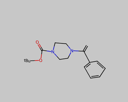 C=C(c1ccccc1)N1CCN(C(=O)OC(C)(C)C)CC1